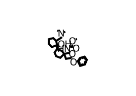 COC(=O)NCC1(CC(=O)Oc2ccccc2)CCCC(C2(O)CCCCC2CN(C)C)C1